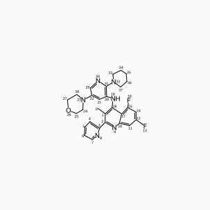 Cc1c(-c2ccccn2)nc2cc(F)cc(F)c2c1Nc1cc(N2CCOCC2)cnc1N1CCCCC1